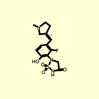 CN1CC/C(=C/c2ccc(O)c(N3CC(=O)NS3(=O)=O)c2F)C1